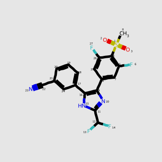 CS(=O)(=O)c1c(F)cc(-c2nc(C(F)F)[nH]c2-c2cccc(C#N)c2)cc1F